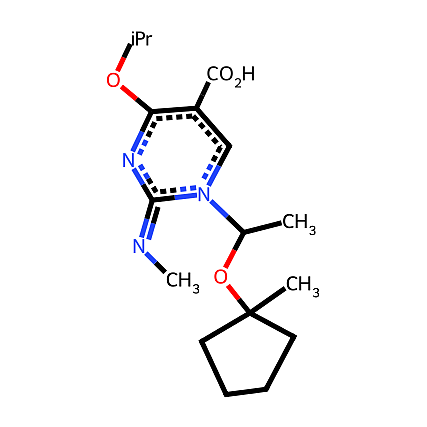 C/N=c1/nc(OC(C)C)c(C(=O)O)cn1C(C)OC1(C)CCCC1